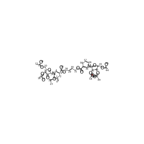 C=CC/C(=C\N(C)[C@@H]1O[C@H](COC(C)=O)C(OC(C)=O)[C@H]1OC(C)=O)C(=O)OC/C=C/COC(=O)C1=CN([C@@H]2O[C@H](COC(C)=O)[C@@H](OC(C)=O)[C@H]2OC(C)=O)C=CC1